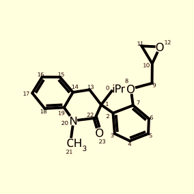 CC(C)C1(c2ccccc2OCC2CO2)Cc2ccccc2N(C)C1=O